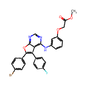 COC(=O)COc1cccc(Nc2ncnc3oc(-c4ccc(Br)cc4)c(-c4ccc(F)cc4)c23)c1